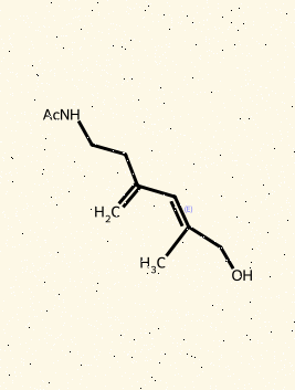 C=C(/C=C(\C)CO)CCNC(C)=O